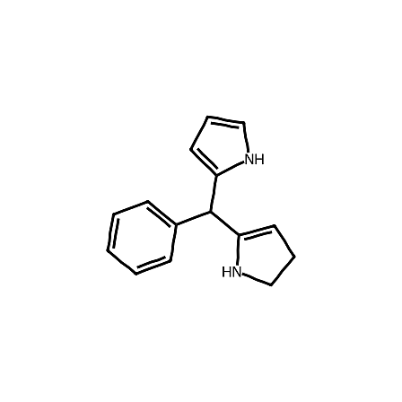 C1=C(C(c2ccccc2)c2ccc[nH]2)NCC1